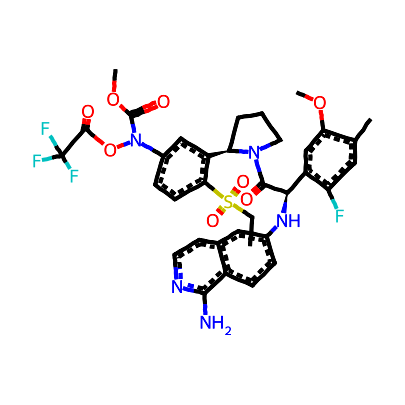 CCS(=O)(=O)c1ccc(N(OC(=O)C(F)(F)F)C(=O)OC)cc1[C@H]1CCCN1C(=O)[C@H](Nc1ccc2c(N)nccc2c1)c1cc(OC)c(C)cc1F